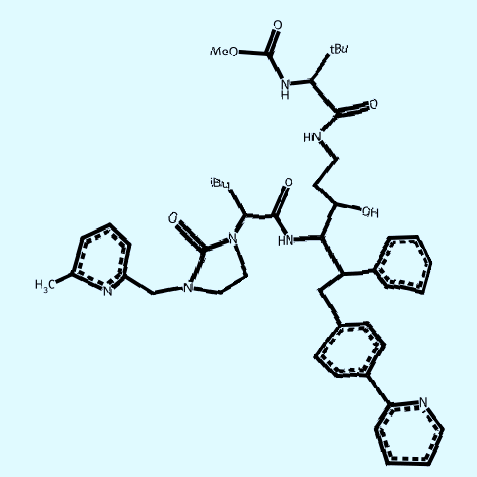 CCC(C)C(C(=O)NC(C(O)CCNC(=O)C(NC(=O)OC)C(C)(C)C)C(Cc1ccc(-c2ccccn2)cc1)c1ccccc1)N1CCN(Cc2cccc(C)n2)C1=O